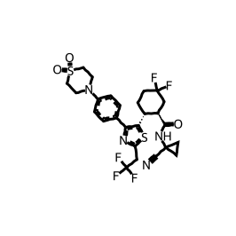 N#CC1(NC(=O)[C@@H]2CC(F)(F)CC[C@H]2c2sc(CC(F)(F)F)nc2-c2ccc(N3CCS(=O)(=O)CC3)cc2)CC1